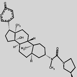 CN(C(=O)N1CC[C@@H](O)C1)[C@H]1CC[C@@]2(C)[C@H](CC[C@@H]3[C@@H]2CC[C@]2(C)[C@@H](c4ccc(=O)oc4)CC[C@]32O)C1